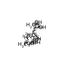 [2H]C(CCC(C)O)C([2H])Cc1cc(C=CC=C2C[C@@H](O)C[C@H](O)C2=C)cc(CC([2H])C([2H])CCC(C)O)c1